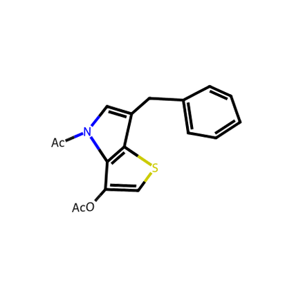 CC(=O)Oc1csc2c(Cc3ccccc3)cn(C(C)=O)c12